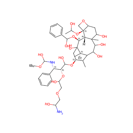 CC[C@@]1(C)C2C(O)C(O)C3(C)C(O)CC4OC[C@@]4(OC(C)O)[C@H]3[C@H](OC(O)c3ccccc3)C1(O)C[C@H](OC(O)[C@H](OC(O)COCC(N)O)[C@@H](NC(O)OC(C)(C)C)c1ccccc1)C2C